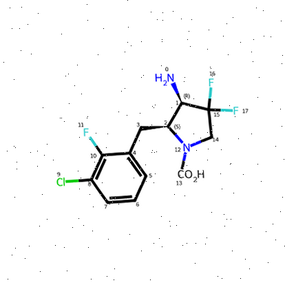 N[C@@H]1[C@H](Cc2cccc(Cl)c2F)N(C(=O)O)CC1(F)F